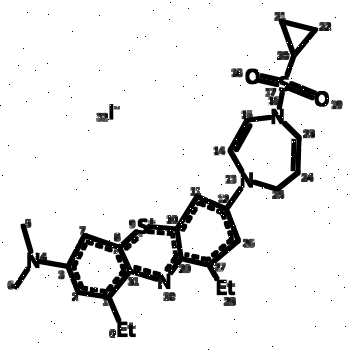 CCc1cc(N(C)C)cc2[s+]c3cc(N4C=CN(S(=O)(=O)C5CC5)C=CC4)cc(CC)c3nc12.[I-]